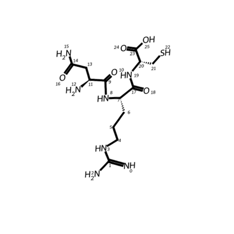 N=C(N)NCCC[C@H](NC(=O)[C@@H](N)CC(N)=O)C(=O)N[C@@H](CS)C(=O)O